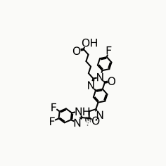 C[C@]1(c2nc3cc(F)c(F)cc3[nH]2)CC(c2ccc3c(=O)n(-c4ccc(F)cc4)c(CCCCC(=O)O)nc3c2)=NO1